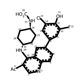 CC(=O)c1cnc2ccc(-c3cc(F)c(O)c(Cl)c3)cc2c1N[C@H]1CC[C@H](NC(=O)O)CC1